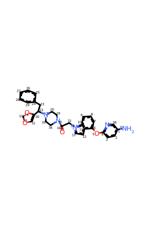 Nc1ccc(Oc2cccc3c2ccn3CC(=O)N2CCN(C(Cc3ccccc3)C3=COCO3)CC2)nc1